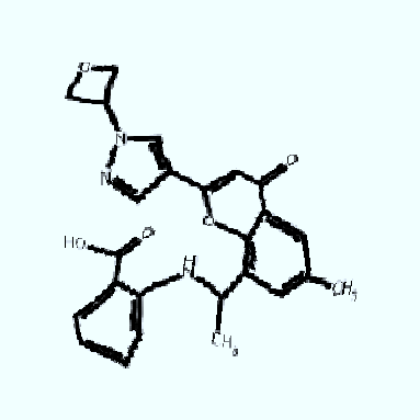 Cc1cc(C(C)Nc2ccccc2C(=O)O)c2oc(-c3cnn(C4COC4)c3)cc(=O)c2c1